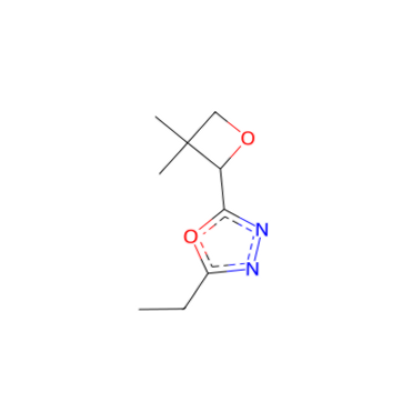 CCc1nnc(C2OCC2(C)C)o1